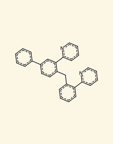 c1ccc(-c2ccc(Cc3ccccc3-c3ccccn3)c(-c3ccccn3)c2)cc1